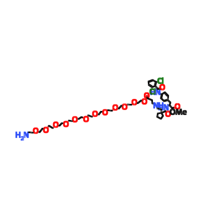 COC(=O)C(Cc1ccc(NC(=O)c2c(Cl)cccc2Cl)cc1)NC(=O)C1(CCNCCC(=O)OCCOCCOCCOCCOCCOCCOCCOCCOCCOCCOCCOCCN)CCCC1